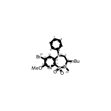 CCCCC1CN(c2ccccc2)c2cc(Br)c(OC)nc2S(=O)(=O)N1C